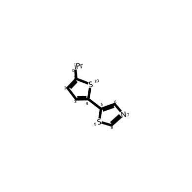 CC(C)c1ccc(-c2cncs2)s1